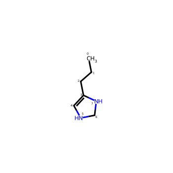 CCCC1=CNCN1